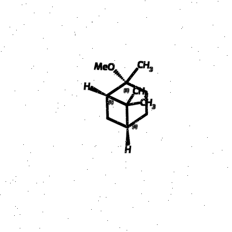 CO[C@]1(C)CC[C@@H]2C[C@H]1C2(C)C